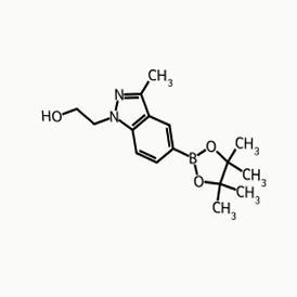 Cc1nn(CCO)c2ccc(B3OC(C)(C)C(C)(C)O3)cc12